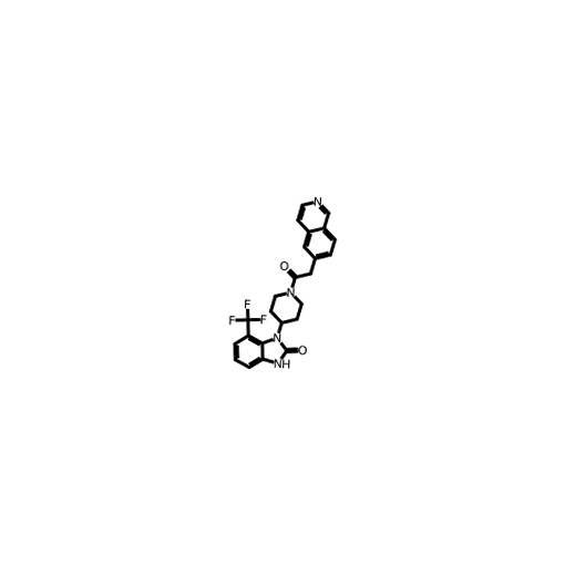 O=C(Cc1ccc2cnccc2c1)N1CCC(n2c(=O)[nH]c3cccc(C(F)(F)F)c32)CC1